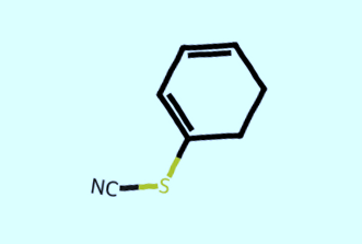 N#CSC1=CC=CCC1